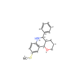 N#CSc1ccc2c(c1)C1OCCCC1C(c1ccccc1)N2